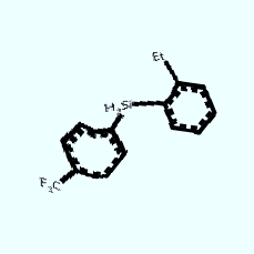 CCc1ccccc1[SiH2]c1ccc(C(F)(F)F)cc1